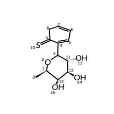 C[C@H]1O[C](C2=CC=CCC2=S)[C@H](O)[C@@H](O)[C@H]1O